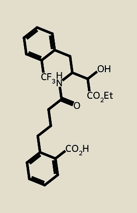 CCOC(=O)C(O)C(Cc1ccccc1C(F)(F)F)NC(=O)CCCc1ccccc1C(=O)O